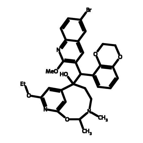 CCOc1cc2cc(n1)OC(C)N(C)CCC2(O)C(c1cc2cc(Br)ccc2nc1OC)c1cccc2c1OCCO2